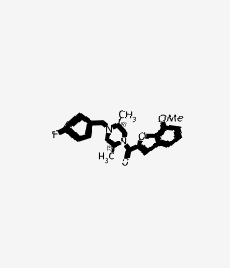 COc1cccc2cc(C(=O)N3C[C@@H](C)N(Cc4ccc(F)cc4)C[C@@H]3C)oc12